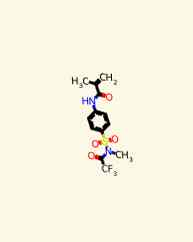 C=C(C)C(=O)Nc1ccc(S(=O)(=O)N(C)C(=O)C(F)(F)F)cc1